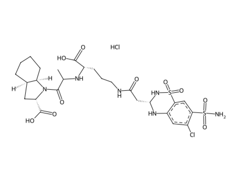 CC(N[C@@H](CCCNC(=O)C[C@H]1Nc2cc(Cl)c(S(N)(=O)=O)cc2S(=O)(=O)N1)C(=O)O)C(=O)N1[C@@H]2CCCC[C@@H]2C[C@H]1C(=O)O.Cl